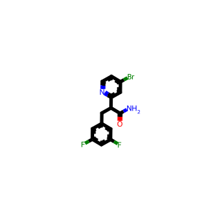 NC(=O)C(Cc1cc(F)cc(F)c1)c1cc(Br)ccn1